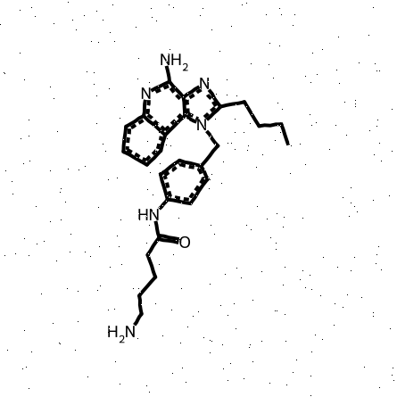 CCCCc1nc2c(N)nc3ccccc3c2n1Cc1ccc(NC(=O)CCCCN)cc1